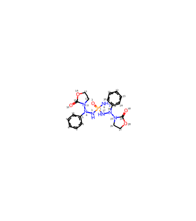 NP(=O)(NN(c1ccccc1)N1CCOC1=O)NN(c1ccccc1)N1CCOC1=O